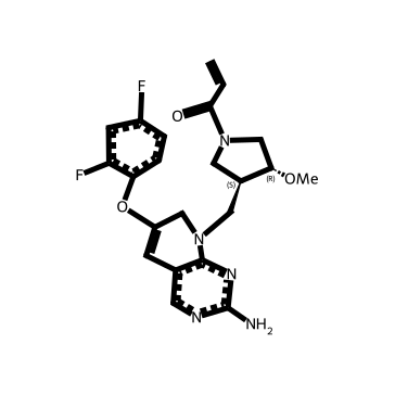 C=CC(=O)N1C[C@H](CN2CC(Oc3ccc(F)cc3F)=Cc3cnc(N)nc32)[C@@H](OC)C1